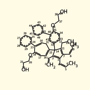 C=CC1=C(/C=C\C)C(/C=C\C)=C(CC)C1(C1=CC=C(OCCO)C(c2ccccc2)=CC1)c1ccc(OCCO)c(-c2ccccc2)c1